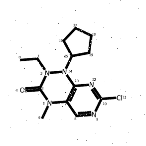 CCN1C(=O)N(C)c2cnc(Cl)nc2N1C1CCCC1